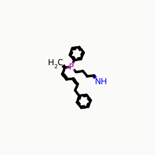 C=C(/C=C\C=C/Cc1ccccc1)P(CCCC=N)c1ccccc1